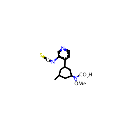 CON(C(=O)O)C1CC(C)CC(c2ccncc2N=C=S)C1